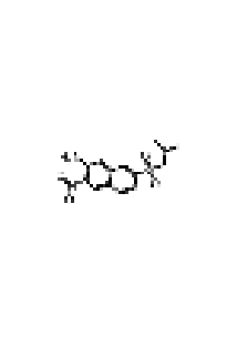 CC(C)CS(=O)(=O)c1ccc2cc([N+](=O)[O-])c(N)cc2c1